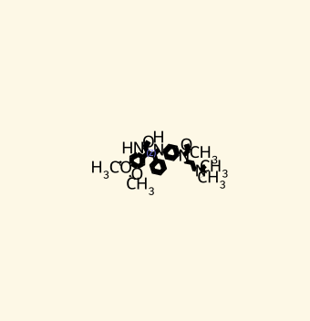 CCOc1cc2c(cc1OCC)/C(=C(/Nc1ccc(N(CCCN(C)C)C(C)=O)cc1)c1ccccc1)C(=O)N2